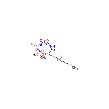 CCCCCCCC(=O)SCC/C=C/[C@@H]1CC(=O)NCc2nc(cs2)C(=O)N[C@H](CC)C(=O)N[C@@H](C(C)C)C(=O)O1